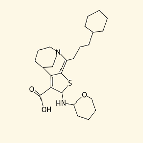 O=C(O)C1=C2C(=C(CCCC3CCCCC3)N3CCCC2C3)SC1NC1CCCCO1